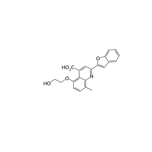 Cc1ccc(OCCO)c2c(C(=O)O)cc(-c3cc4ccccc4o3)nc12